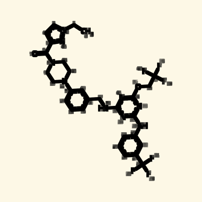 CCn1ccc(C(=O)N2CCN(c3cccc(CNc4nc(Nc5cccc(C(F)(F)F)c5)nc(OCC(F)(F)F)n4)c3)CC2)n1